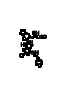 O=CN(O)C[C@@H](CC1CCCC1)C(=O)NNc1nc(Cl)nc(NCCN2CCOCC2)c1F